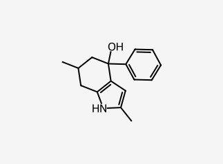 Cc1cc2c([nH]1)CC(C)CC2(O)c1ccccc1